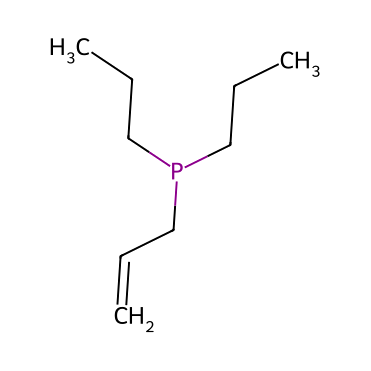 C=CCP(CCC)CCC